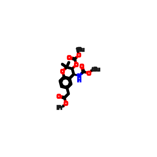 CC(C)OC(=O)Cc1ccc2c(c1)[C@@H](NC(=O)OC(C)(C)C)[C@H](OC(=O)OC(C)(C)C)C(C)(C)O2